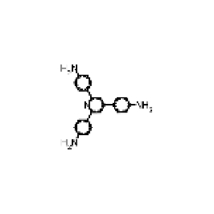 Nc1ccc(-c2cc(-c3ccc(N)cc3)nc(-c3ccc(N)cc3)c2)cc1